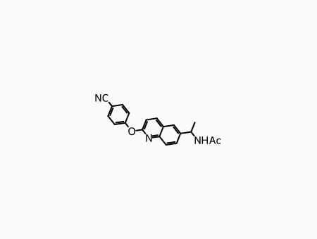 CC(=O)NC(C)c1ccc2nc(Oc3ccc(C#N)cc3)ccc2c1